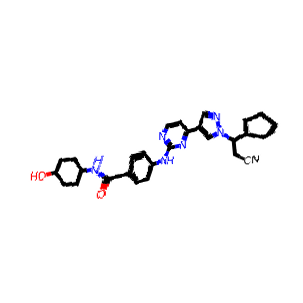 N#CCC(C1CCCC1)n1cc(-c2ccnc(Nc3ccc(C(=O)NC4CCC(O)CC4)cc3)n2)cn1